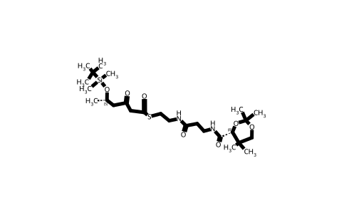 C[C@@H](CC(=O)CC(=O)SCCNC(=O)CCNC(=O)[C@@H]1OC(C)(C)OCC1(C)C)O[Si](C)(C)C(C)(C)C